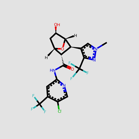 Cn1cc([C@@H]2[C@@H]3O[C@@H](C[C@H]3O)[C@H]2C(=O)Nc2cc(C(F)(F)F)c(Cl)cn2)c(C(F)(F)F)n1